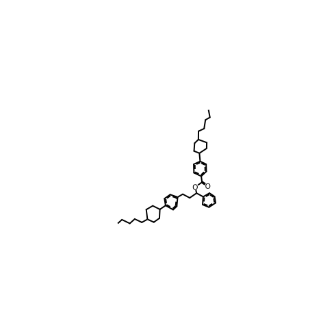 CCCCCC1CCC(c2ccc(CCC(OC(=O)c3ccc(C4CCC(CCCCC)CC4)cc3)c3ccccc3)cc2)CC1